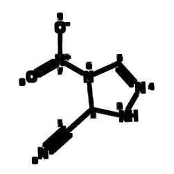 N#CC1NN=CN1[N+](=O)[O-]